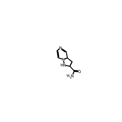 NC(=O)C1CC2C=NC=CN2N1